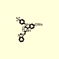 COc1ccc(C(NC(=O)Cn2cnc3ccccc32)C(=O)Nc2ccc([Si](C)(C)C)cc2)cc1